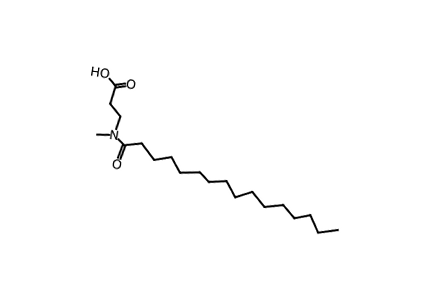 CCCCCCCCCCCCCCCC(=O)N(C)CCC(=O)O